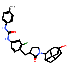 CCOC(=O)c1ccc(NC(=O)Nc2ccc(CC3CCN(C4C5CC6CC4CC(O)(C6)C5)C3=O)c(Cl)c2)cc1